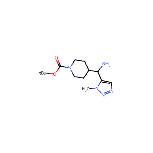 Cn1nncc1C(N)C1CCN(C(=O)OC(C)(C)C)CC1